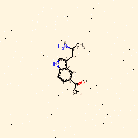 CC(=O)c1ccc2[nH]cc(CC(C)N)c2c1